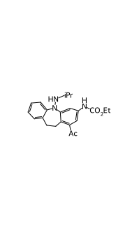 CCOC(=O)Nc1cc(C(C)=O)c2c(c1)N(NC(C)C)c1ccccc1CC2